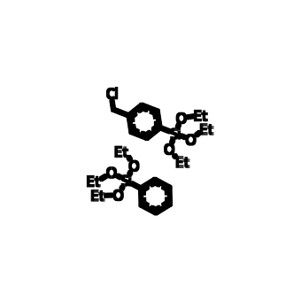 CCO[Si](OCC)(OCC)c1ccc(CCl)cc1.CCO[Si](OCC)(OCC)c1ccccc1